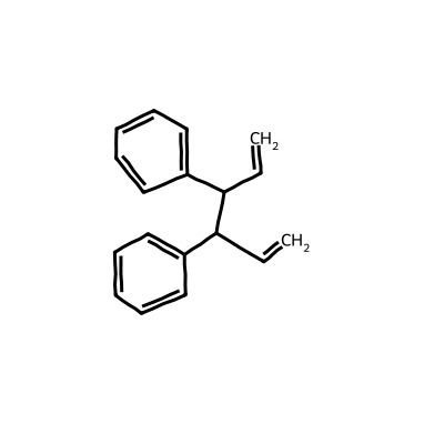 C=CC(c1ccccc1)C(C=C)c1ccccc1